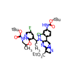 CCOC(=O)c1cnn2cc(-c3ccc(NC(=O)OC(C)(C)C)cc3Cl)c(NC(C)c3cc(F)cnc3O[C@@H](C)CNC(=O)OC(C)(C)C)nc12